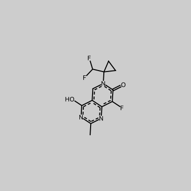 Cc1nc(O)c2cn(C3(C(F)F)CC3)c(=O)c(F)c2n1